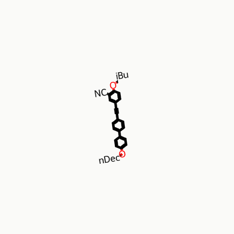 CCCCCCCCCCOc1ccc(-c2ccc(C#Cc3ccc(OC[C@@H](C)CC)c(C#N)c3)cc2)cc1